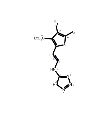 CCOC(=O)c1c(/N=C/Nc2nnn[nH]2)sc(C)c1CC